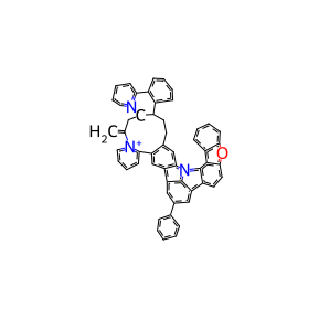 C=C1CCC(c2ccccc2-c2ccccn2)CCc2cc3c(cc2-c2cccc[n+]21)c1cc(-c2ccccc2)cc2c4ccc5oc6ccccc6c5c4n3c12